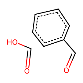 O=CO.O=Cc1ccccc1